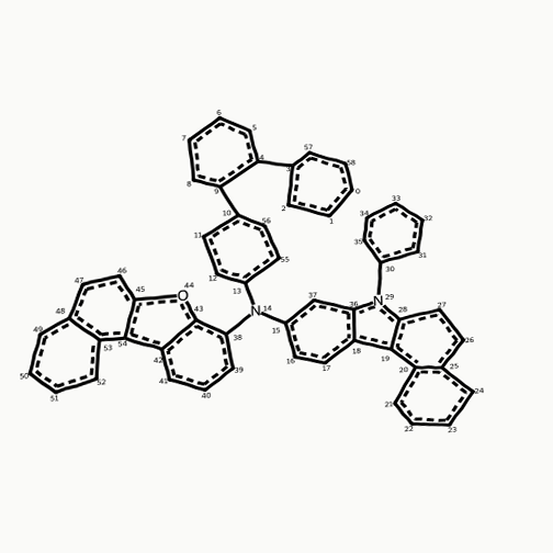 c1ccc(-c2ccccc2-c2ccc(N(c3ccc4c5c6ccccc6ccc5n(-c5ccccc5)c4c3)c3cccc4c3oc3ccc5ccccc5c34)cc2)cc1